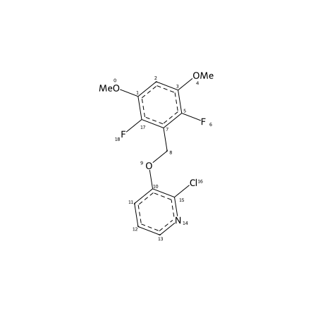 COc1cc(OC)c(F)c(COc2cccnc2Cl)c1F